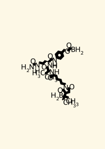 BC(=O)OCc1ccc(NC(=O)[C@H](CCCNC(N)=O)NC(=O)C(NC(=O)CCCCCN2C(=O)CC(C(B)(CC)CC)C2=O)C(C)C)cc1